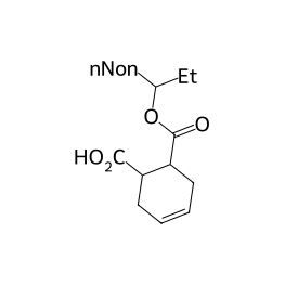 CCCCCCCCCC(CC)OC(=O)C1CC=CCC1C(=O)O